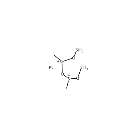 C[SiH](O[SiH3])O[SiH](C)O[SiH3].[Pt]